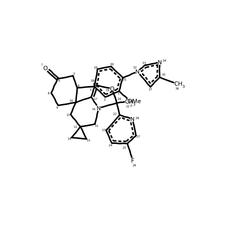 COc1cc(C2CC(=O)CCC23CC2(CC2)CN2C3=NOC2(C)c2ccc(F)cn2)ccc1-n1cnc(C)c1